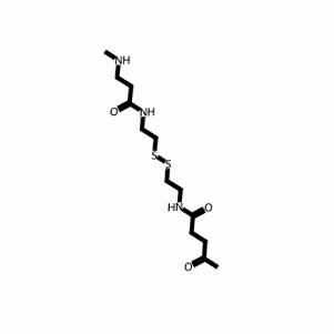 CNCCC(=O)NCCSSCCNC(=O)CCC(C)=O